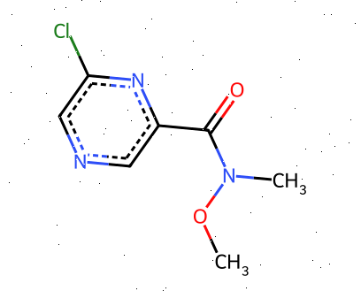 CON(C)C(=O)c1cncc(Cl)n1